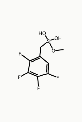 CO[Si](O)(O)Cc1cc(F)c(F)c(F)c1F